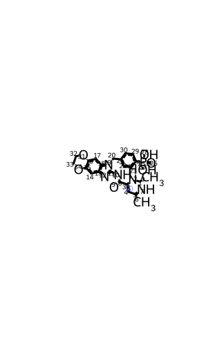 CCN/C(=C\C(C)=N)C(=O)Nc1nc2cc3c(cc2n1Cc1ccc(P(=O)(O)O)cc1)OCCO3